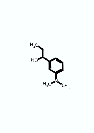 CCC(O)c1cccc(N(C)C)c1